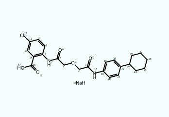 O=C(COCC(=O)Nc1ccc(Cl)cc1C(=O)O)Nc1ccc(C2CCCCC2)cc1.[NaH]